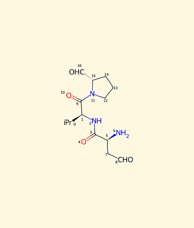 CC(C)[C@H](NC(=O)[C@@H](N)CC=O)C(=O)N1CCC[C@H]1C=O